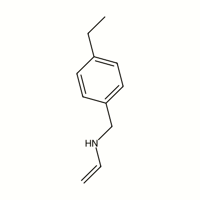 C=CNCc1ccc(CC)cc1